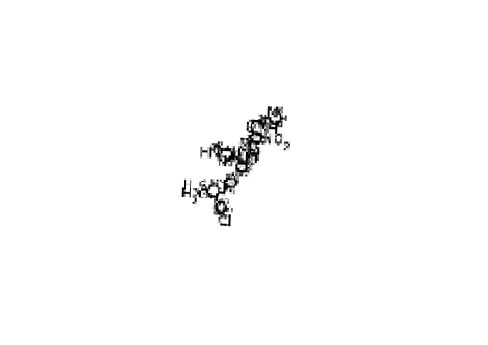 CC1(C)CCC(CN2CCN(c3ccc(C(=O)NS(=O)(=O)c4cc5c(c([N+](=O)[O-])c4)N[C@@H](Cc4ccccn4)CO5)c(Oc4cnc5[nH]ccc5c4)c3)CC2)=C(c2ccc(Cl)cc2)C1